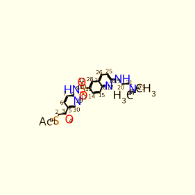 CC(=O)SCC(=O)c1ccc(NS(=O)(=O)c2ccc3nc(NCCN(C)C)ccc3c2)nc1